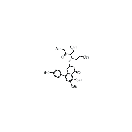 CC(=O)CC(=O)C(CO)C(CCO)CC1CC(=O)c2c(O)c(C(C)(C)C)cc(-c3ccc(C(C)C)cc3)c2C1